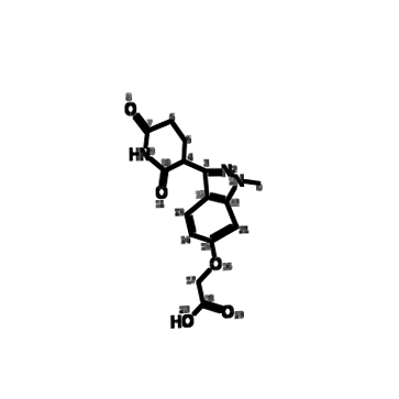 Cn1nc(C2CCC(=O)NC2=O)c2ccc(OCC(=O)O)cc21